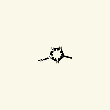 Cc1nnn(S)n1